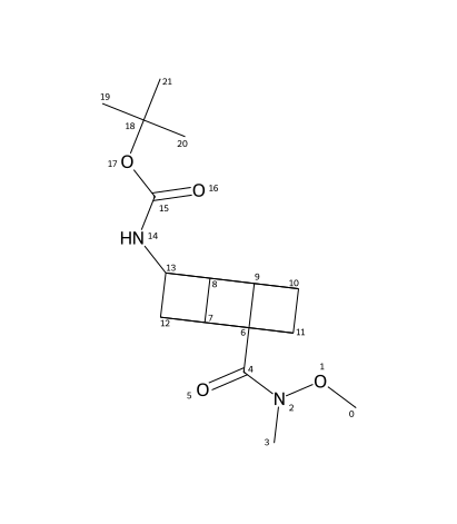 CON(C)C(=O)C12C3C4C1C1C2C3C41NC(=O)OC(C)(C)C